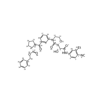 [C-]#[N+]c1ccc(NC(=O)[C@H](O)[C@H]2OCCN(c3cccc(C(=O)N4CCC[C@H]4C(=O)OCc4ccccc4)c3)C2=O)cc1CC